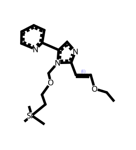 CCO/C=C/c1ncc(-c2ccccn2)n1COCC[Si](C)(C)C